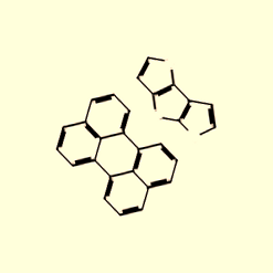 c1cc2c(s1)sc1ccsc12.c1cc2cccc3c4cccc5cccc(c(c1)c23)c54